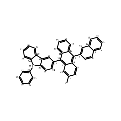 Cc1ccc2c(-c3ccc4ccccc4c3)c3ccccc3c(-c3ccc4c(c3)c3ccccc3p4-c3ccccc3)c2c1